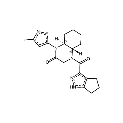 Cc1cc(N2C(=O)CN(C(=O)c3n[nH]c4c3CCC4)[C@H]3CCCC[C@@H]32)sn1